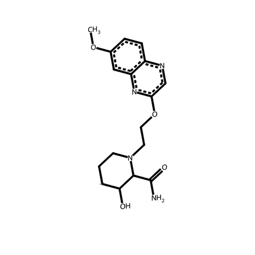 COc1ccc2ncc(OCCN3CC[CH]C(O)C3C(N)=O)nc2c1